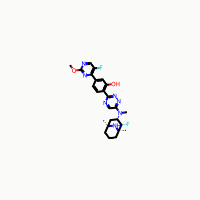 COc1ncc(F)c(-c2ccc(-c3ncc(N(C)[C@H]4C[C@]5(C)CCC[C@@](C)(N5)[C@H]4F)nn3)c(O)c2)n1